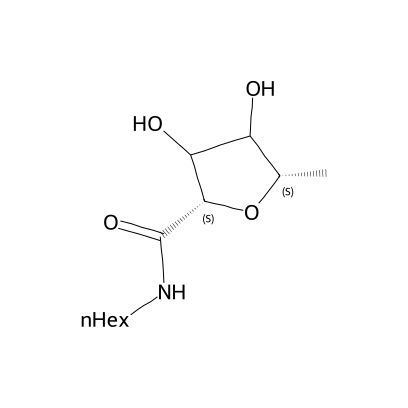 CCCCCCNC(=O)[C@H]1O[C@@H](C)C(O)C1O